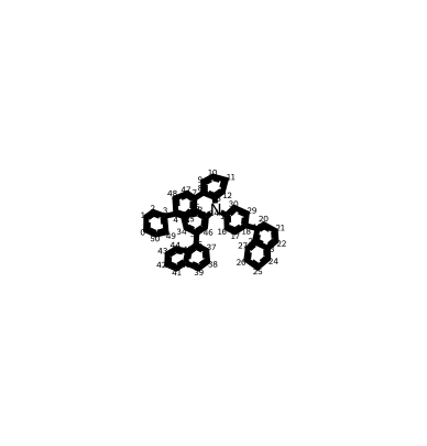 c1ccc(-c2ccc(-c3ccccc3N(c3ccc(-c4cccc5ccccc45)cc3)c3cccc(-c4cccc5ccccc45)c3)cc2)cc1